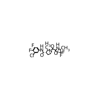 C[C@H]1[C@@H](C(=O)Nc2cc(F)c(F)c(Cl)c2)CCN1C(=O)C(=O)N[C@H](C)C(F)(F)F